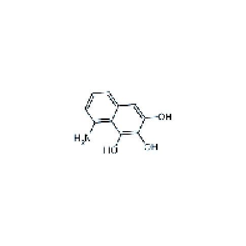 Nc1cccc2cc(O)c(O)c(O)c12